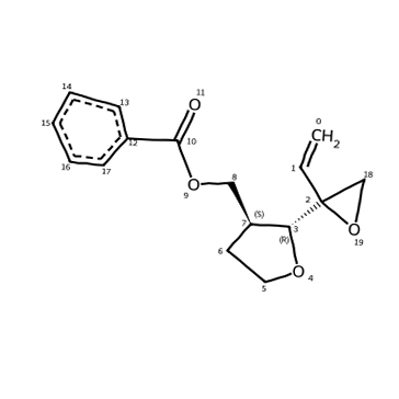 C=CC1([C@@H]2OCC[C@H]2COC(=O)c2ccccc2)CO1